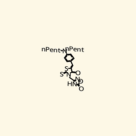 CCCCCN(CCCCC)c1ccc(/C=C2\SC(=S)N(Cc3noc(=O)[nH]3)C2=O)cc1